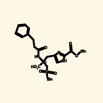 CC(C)(C)OC(=O)c1nc(C[C@](CS(=O)(=O)C(C)(C)C)(NC(=O)CCc2ccccc2)C(=O)O)c[nH]1